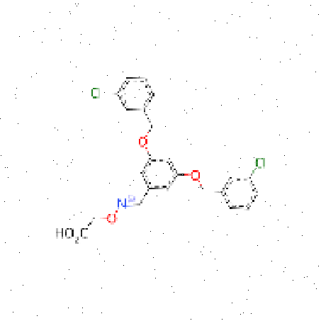 O=C(O)CO/N=C/c1cc(OCc2cccc(Cl)c2)cc(OCc2cccc(Cl)c2)c1